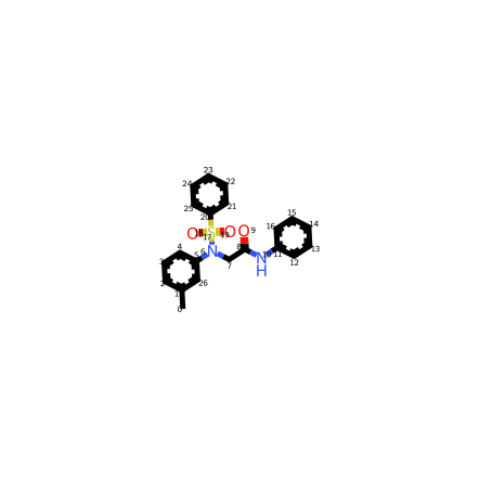 Cc1cccc(N(CC(=O)Nc2ccccc2)S(=O)(=O)c2ccccc2)c1